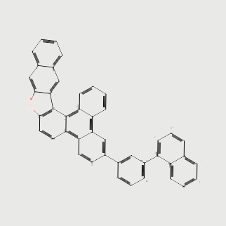 c1cc(-c2ccc3c(c2)c2ccccc2c2c3ccc3oc4cc5ccccc5cc4c32)cc(-c2cccc3ccccc23)c1